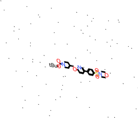 CC(C)(C)OC(=O)N1CCC(COc2ccc(-c3ccc(S(=O)(=O)N4CCOCC4)cc3)cn2)CC1